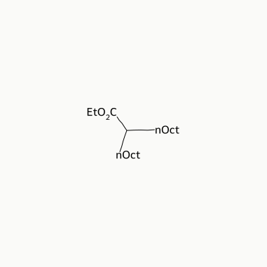 CCCCCCCCC(CCCCCCCC)C(=O)OCC